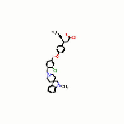 CC#CC(CC(=O)O)c1ccc(OCc2ccc(CN3CCC4(CC3)CN(C)c3ccccc34)c(Cl)c2)cc1